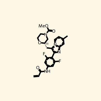 C=CC(=O)Nc1cc(F)c(-c2nc3cc(C)ccn3c2C[C@H]2CN(C(=O)OC)CCO2)c(F)c1